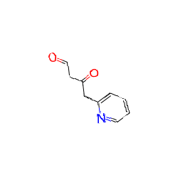 O=CCC(=O)Cc1ccccn1